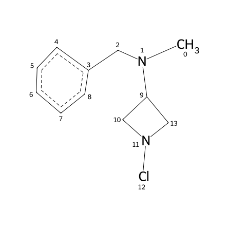 CN(Cc1ccccc1)C1CN(Cl)C1